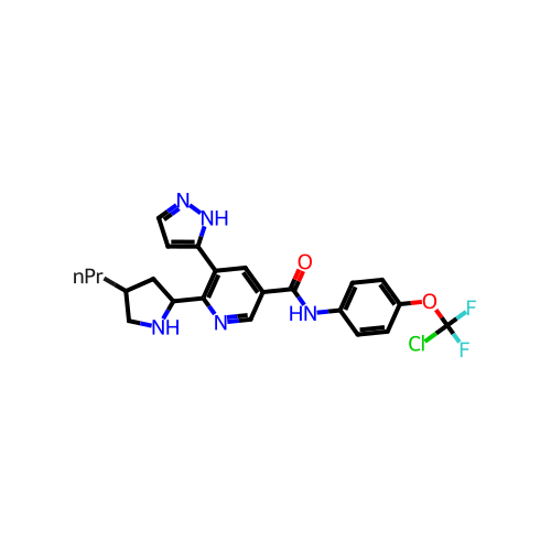 CCCC1CNC(c2ncc(C(=O)Nc3ccc(OC(F)(F)Cl)cc3)cc2-c2ccn[nH]2)C1